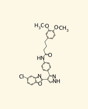 COc1ccc(CCCC(=O)Nc2ccc(-c3n[nH]cc3-c3nc4cc(Cl)ccc4o3)cc2)cc1OC